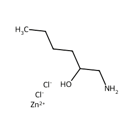 CCCCC(O)CN.[Cl-].[Cl-].[Zn+2]